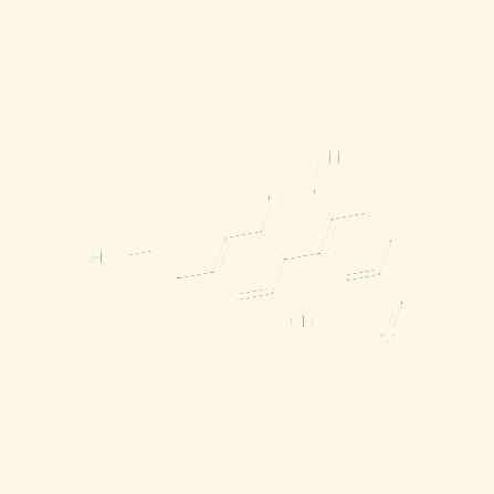 CCCc1cc(C)c(-c2cc(C=O)ccc2OC)c(C)c1